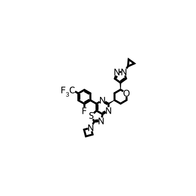 Fc1cc(C(F)(F)F)ccc1-c1nc([C@@H]2CCO[C@H](c3cnn(C4CC4)c3)C2)nc2nc(N3CCC3)sc12